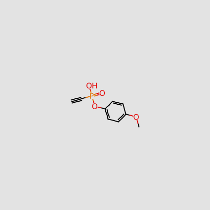 C#CP(=O)(O)Oc1ccc(OC)cc1